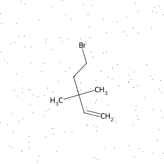 C=CC(C)(C)CCBr